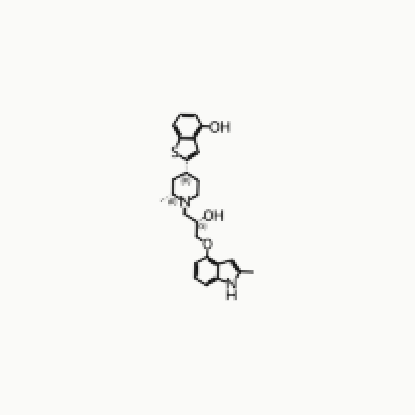 Cc1cc2c(OC[C@@H](O)CN3CC[C@@H](c4cc5c(O)cccc5s4)C[C@H]3C)cccc2[nH]1